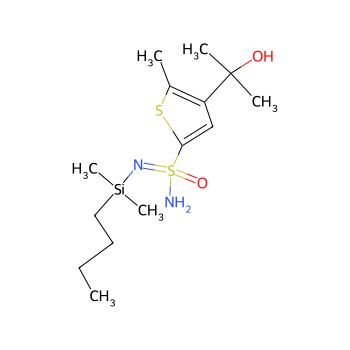 CCCC[Si](C)(C)N=S(N)(=O)c1cc(C(C)(C)O)c(C)s1